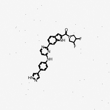 O=C(c1cc2ccc(-c3nccc(Nc4ccc(-c5cn[nH]c5)cc4)n3)cc2[nH]1)N1CC(F)C(F)C1